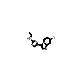 CCNc1ncc(-c2cnc3cc(Cl)ccn23)s1